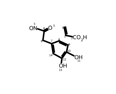 C=CC(=O)O.O=NC(=O)Cc1ccc(O)c(O)c1